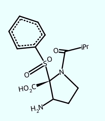 CC(C)C(=O)N1CCC(N)[C@]1(C(=O)O)S(=O)(=O)c1ccccc1